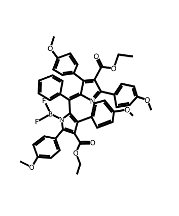 CCOC(=O)C1=C(c2ccc(OC)cc2)/C(=C(\c2ccccc2)c2c(-c3ccc(OC)cc3)c(C(=O)OCC)c(-c3ccc(OC)cc3)n2B(F)F)N=C1c1ccc(OC)cc1